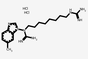 Cc1ccc2ncn(N(CCCCCCCCNC(=N)N)C(=N)N)c2c1.Cl.Cl